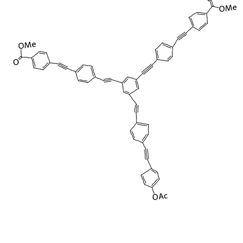 COC(=O)c1ccc(C#Cc2ccc(C#Cc3cc(C#Cc4ccc(C#Cc5ccc(OC(C)=O)cc5)cc4)cc(C#Cc4ccc(C#Cc5ccc(C(=O)OC)cc5)cc4)c3)cc2)cc1